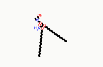 CCCCCCCCC=CCCCCCCCCOC(COCCN(CC)CCO)C(OCCCCCCCCC=CCCCCCCCC)C(N)=O